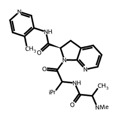 CNC(C)C(=O)NC(C(=O)N1c2ncccc2C[C@@H]1C(=O)Nc1cnccc1C)C(C)C